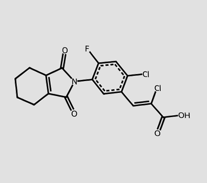 O=C(O)/C(Cl)=C/c1cc(N2C(=O)C3=C(CCCC3)C2=O)c(F)cc1Cl